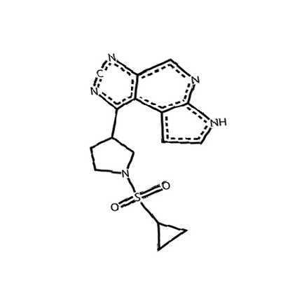 O=S(=O)(C1CC1)N1CCC(c2ncnc3cnc4[nH]ccc4c23)C1